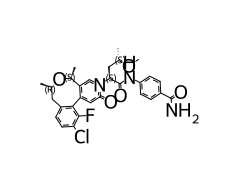 CO[C@@H](C)C[C@@H](C(=O)Nc1ccc(C(N)=O)cc1)n1cc2c(cc1=O)-c1c(ccc(Cl)c1F)C[C@@H](C)O[C@H]2C